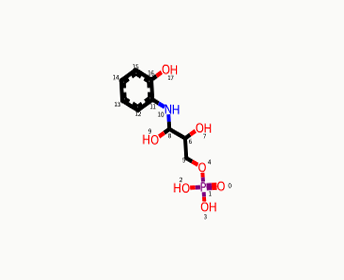 O=P(O)(O)OCC(O)C(O)Nc1ccccc1O